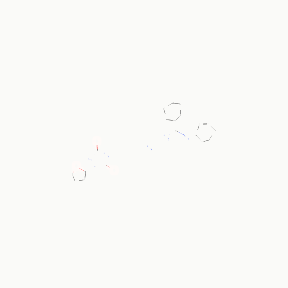 CC1(c2ccco2)NC(=O)N(CCCCN2CCN(C3=Nc4ccccc4Sc4ccccc43)CC2)C1=O